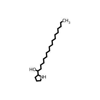 CCCCCCCCCCCCCCCCCC(O)C1CCCN1